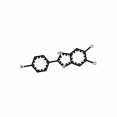 Clc1cc2nc(-c3ccc(Br)cc3)[nH]c2cc1Cl